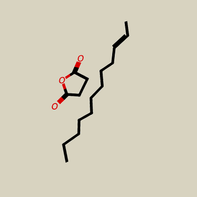 CC=CCCCCCCCCC.O=C1CCC(=O)O1